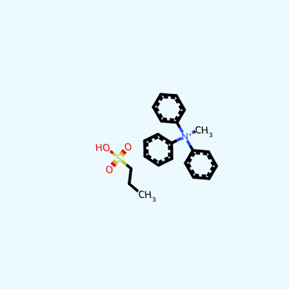 CCCS(=O)(=O)O.C[N+](c1ccccc1)(c1ccccc1)c1ccccc1